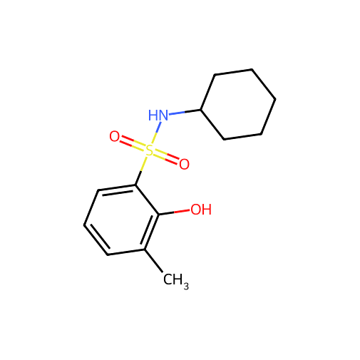 Cc1cccc(S(=O)(=O)NC2CCCCC2)c1O